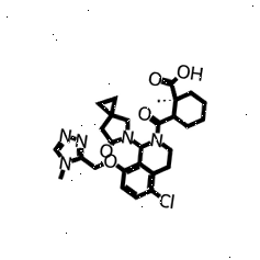 Cn1cnnc1COc1ccc(Cl)c2c1C(N1CC3(CC3)CC1=O)N(C(=O)C1CCCC[C@]1(C)C(=O)O)CC2